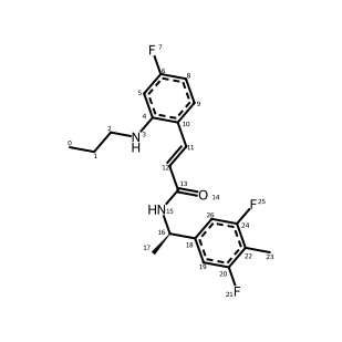 CCCNc1cc(F)ccc1/C=C/C(=O)N[C@H](C)c1cc(F)c(C)c(F)c1